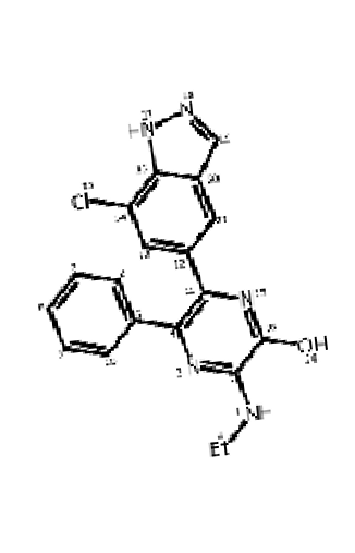 CCNc1nc(-c2ccccc2)c(-c2cc(Cl)c3[nH]ncc3c2)nc1O